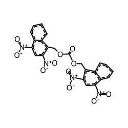 O=C(OCc1c([N+](=O)[O-])cc([N+](=O)[O-])c2ccccc12)OCc1c([N+](=O)[O-])cc([N+](=O)[O-])c2ccccc12